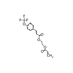 C=CC(=O)OCCOC(=O)/C=C/c1ccc(OC(F)(F)F)cc1